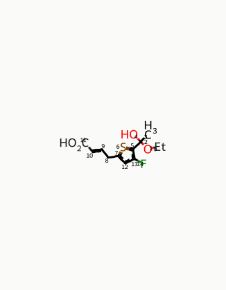 CCOC(C)(O)c1sc(C/C=C/C(=O)O)cc1F